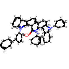 O=c1c2c(ccc3c4ccccc4n(-c4cccc(-c5ccccc5)c4)c32)c2ccc3c(c4ccccc4n3-c3ccccc3)c2n1-c1ccccc1